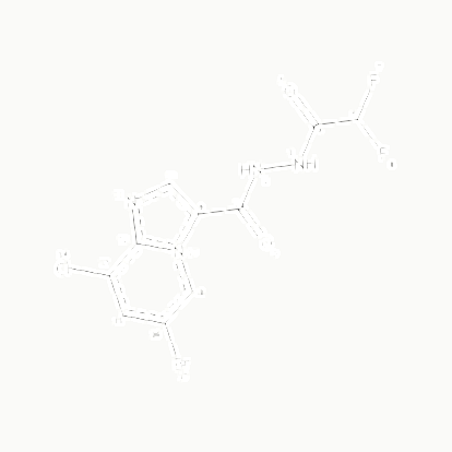 O=C(NNC(=O)C(F)F)c1cnc2c(Cl)cc(Br)cn12